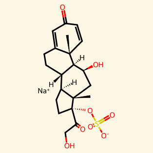 C[C@]12C=CC(=O)C=C1CC[C@@H]1[C@@H]2[C@@H](O)C[C@@]2(C)[C@H]1CC[C@]2(OS(=O)(=O)[O-])C(=O)CO.[Na+]